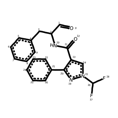 O=CC(Cc1ccccc1)NC(=O)c1cn(C(F)F)nc1-c1ccccc1